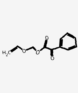 C=COCOC(=O)C(=O)c1ccccc1